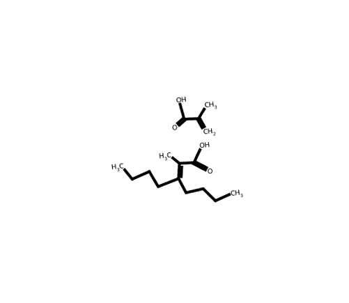 C=C(C)C(=O)O.CCCCC(CCCC)=C(C)C(=O)O